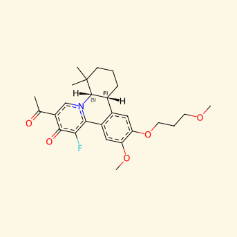 COCCCOc1cc2c(cc1OC)-c1c(F)c(=O)c(C(C)=O)cn1[C@H]1[C@@H]2CCCC1(C)C